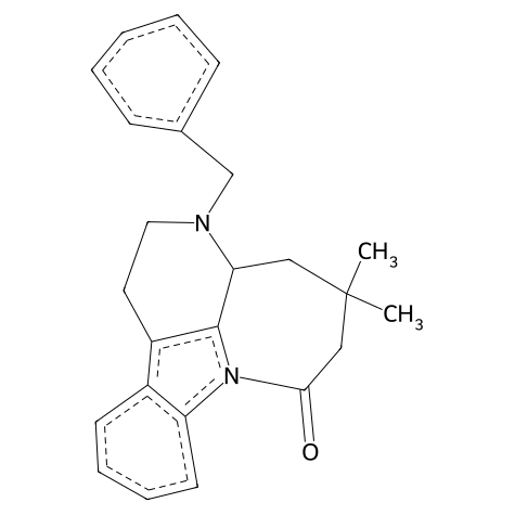 CC1(C)CC(=O)n2c3c(c4ccccc42)CCN(Cc2ccccc2)C3C1